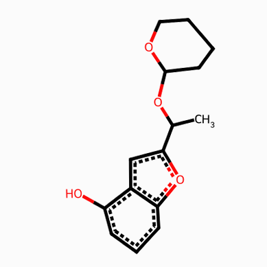 CC(OC1CCCCO1)c1cc2c(O)cccc2o1